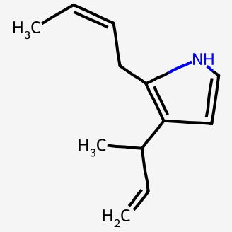 C=CC(C)c1cc[nH]c1C/C=C\C